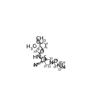 COc1ccccc1[C@@H](C)CC(=O)Nc1sc2c(c1C#N)CCN(C(=O)Cn1ccnc1)C2